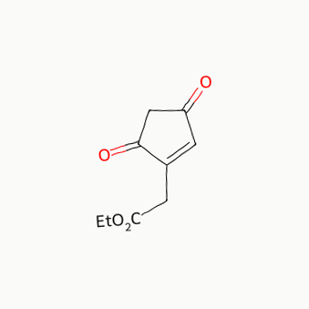 CCOC(=O)CC1=CC(=O)CC1=O